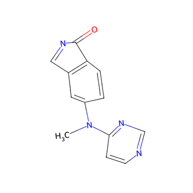 CN(c1ccc2c(c1)C=NC2=O)c1ccncn1